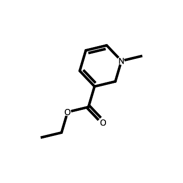 CCOC(=O)C1=CC=CN(C)C1